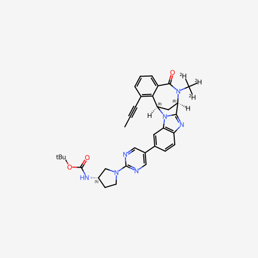 [2H]C([2H])([2H])N1C(=O)c2cccc(C#CC)c2[C@H]2C[C@@H]1c1nc3ccc(-c4cnc(N5CC[C@H](NC(=O)OC(C)(C)C)C5)nc4)cc3n12